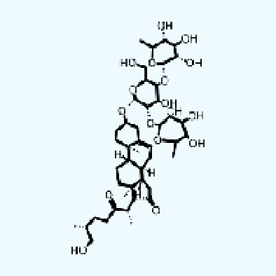 CC1O[C@@H](O[C@@H]2C(CO)O[C@@H](OC3CC[C@@]4(C)C(=CC[C@H]5[C@@H]6CC(=O)[C@H]([C@H](C)C(=O)CC[C@@H](C)CO)[C@@]6(C)CC[C@@H]54)C3)[C@@H](O[C@@H]3OC(C)[C@H](O)C(O)[C@@H]3O)C2O)[C@@H](O)C(O)[C@H]1O